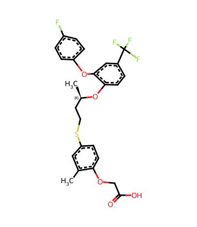 Cc1cc(SCC[C@@H](C)Oc2ccc(C(F)(F)F)cc2Oc2ccc(F)cc2)ccc1OCC(=O)O